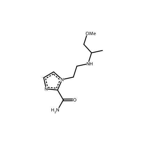 COCC(C)NCCn1c[c]nc1C(N)=O